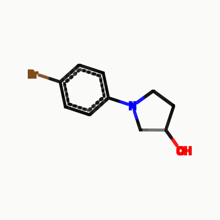 OC1CCN(c2ccc(Br)cc2)C1